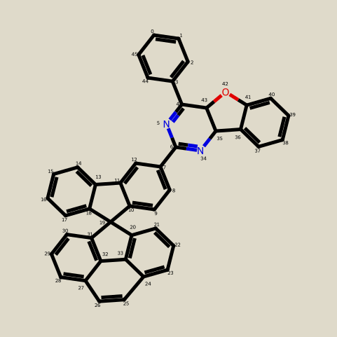 c1ccc(C2=NC(c3ccc4c(c3)-c3ccccc3C43c4cccc5ccc6cccc3c6c45)=NC3c4ccccc4OC23)cc1